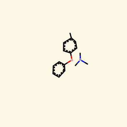 CN(C)C.Cc1ccc(Oc2ccccc2)cc1